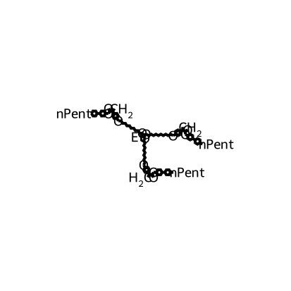 C=C(C(=O)OC1CCC(C2CCC(CCCCC)CC2)CC1)c1ccc(OCCCCCCCCCCOC(CC)(OCCCCCCCCCCOc2ccc(C(=C)C(=O)OC3CCC(C4CCC(CCCCC)CC4)CC3)cc2)OCCCCCCCCCCOc2ccc(C(=C)C(=O)OC3CCC(C4CCC(CCCCC)CC4)CC3)cc2)cc1